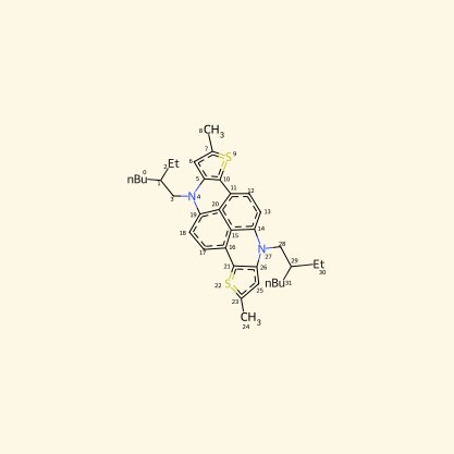 CCCCC(CC)CN1c2cc(C)sc2-c2ccc3c4c(ccc1c24)-c1sc(C)cc1N3CC(CC)CCCC